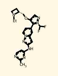 CCN1CC[C@@H]1COc1cnn(C(F)F)c1-c1ccn2nc(Nc3ccnc(C)n3)cc2c1